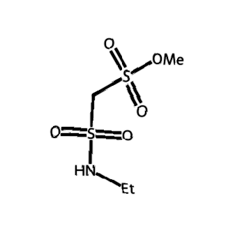 CCNS(=O)(=O)CS(=O)(=O)OC